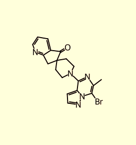 Cc1nc(N2CCC3(CC2)Cc2ncccc2C3=O)c2ccnn2c1Br